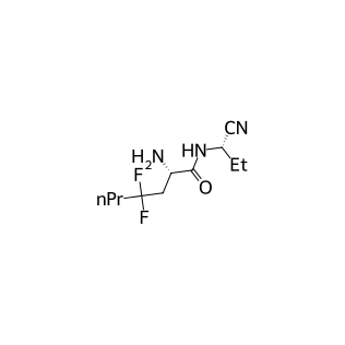 CCCC(F)(F)C[C@H](N)C(=O)N[C@H](C#N)CC